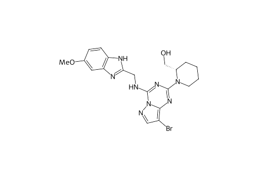 COc1ccc2[nH]c(CNc3nc(N4CCCC[C@H]4CO)nc4c(Br)cnn34)nc2c1